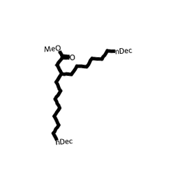 CCCCCCCCCCCCCCCCCC([CH]C(=O)OC)CCCCCCCCCCCCCCCC